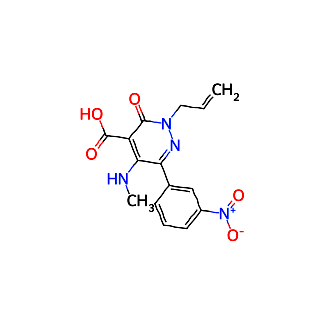 C=CCn1nc(-c2cccc([N+](=O)[O-])c2)c(NC)c(C(=O)O)c1=O